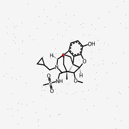 COC1[C@@H]2Oc3c(O)ccc4c3[C@@]23CCN(CC2CC2)[C@H](C4)C(C[C@@]1(C)CNS(C)(=O)=O)C3